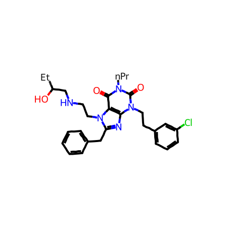 CCCn1c(=O)c2c(nc(Cc3ccccc3)n2CCNCC(O)CC)n(CCc2cccc(Cl)c2)c1=O